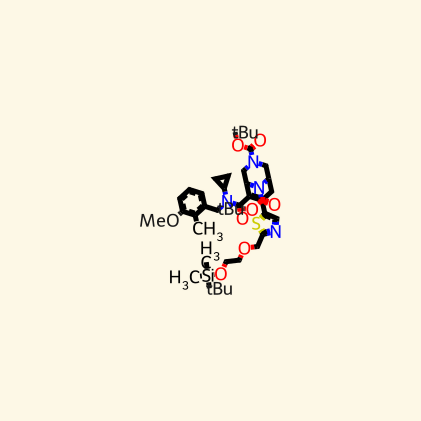 COc1cccc(CN(C(=O)C2=C(c3cnc(COCCO[Si](C)(C)C(C)(C)C)s3)CC3CN(C(=O)OC(C)(C)C)CC2N3C(=O)OC(C)(C)C)C2CC2)c1C